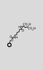 O=C(O)CC[C@H](NC(=O)CCCCCNC(=O)OCc1ccccc1)C(=O)O